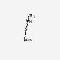 CCCCCCCCCCCCCCCCSCCCOPOCCN